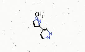 Cn1ccc(-c2ccnnc2)n1